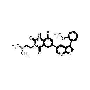 COc1ccccc1-c1c[nH]c2ncc(-c3cc(F)c4[nH]c(=O)n(CCN(C)C)c(=O)c4c3)cc12